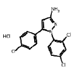 Cl.Nc1cc(-c2ccc(Cl)cc2)n(-c2ccc(Cl)cc2Cl)n1